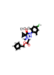 CCOC(=O)c1cc(F)cc(C)c1NC(=O)C1([N+](C)(C)CC(=O)OCc2ccccc2)CC1